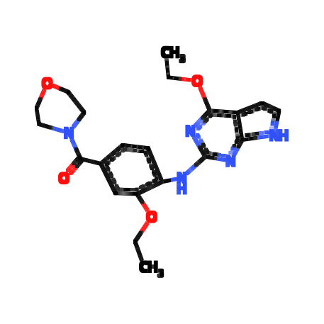 CCOc1cc(C(=O)N2CCOCC2)ccc1Nc1nc(OCC)c2cc[nH]c2n1